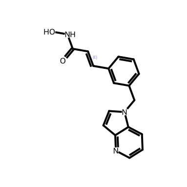 O=C(/C=C/c1cccc(Cn2ccc3ncccc32)c1)NO